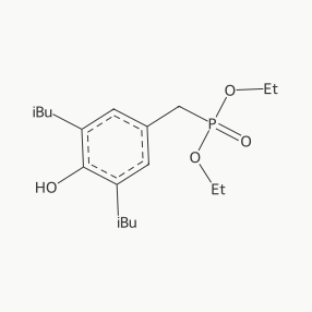 CCOP(=O)(Cc1cc(C(C)CC)c(O)c(C(C)CC)c1)OCC